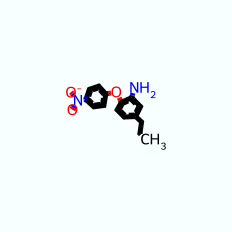 CCCc1ccc(Oc2ccc([N+](=O)[O-])cc2)c(N)c1